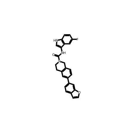 O=C(Nc1c[nH]c2ccc(F)cc12)N1CCc2cc(-c3ccc4ccoc4c3)ccc2C1